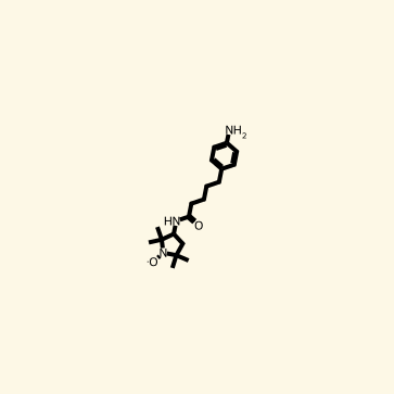 CC1(C)CC(NC(=O)CCCCc2ccc(N)cc2)C(C)(C)N1[O]